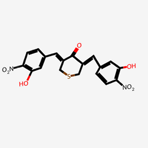 O=C1C(=Cc2ccc([N+](=O)[O-])c(O)c2)CSCC1=Cc1ccc([N+](=O)[O-])c(O)c1